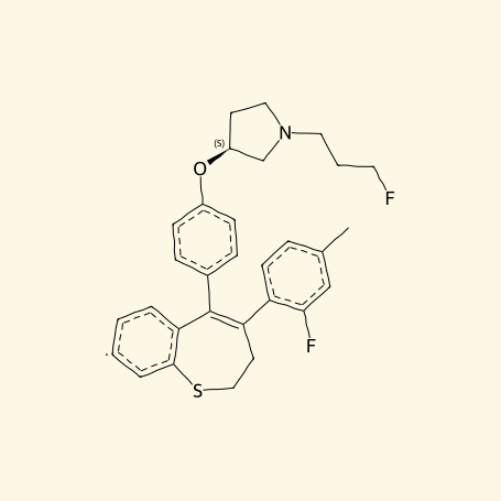 Cc1ccc(C2=C(c3ccc(O[C@H]4CCN(CCCF)C4)cc3)c3cc[c]cc3SCC2)c(F)c1